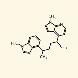 CC(CCC(C)c1ccnc2c1ccn2C)c1cccc2c1ccn2C